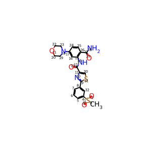 CS(=O)(=O)c1cccc(-c2nc(C(=O)Nc3cc(N4CCOCC4)ccc3C(N)=O)cs2)c1